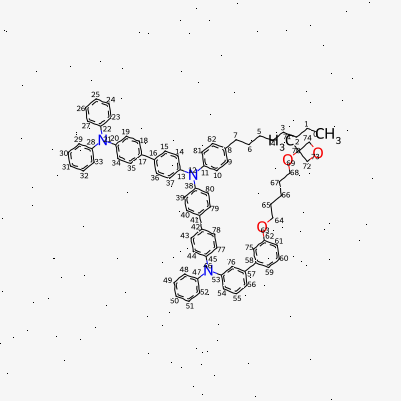 CCCCCCCCc1ccc(N(c2ccc(-c3ccc(N(c4ccccc4)c4ccccc4)cc3)cc2)c2ccc(-c3ccc(N(c4ccccc4)c4cccc(-c5cccc(OCCCCCOC6(C)COC6)c5)c4)cc3)cc2)cc1